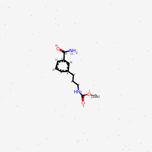 CC(C)(C)OC(=O)NCCCc1cccc(C(N)=O)c1